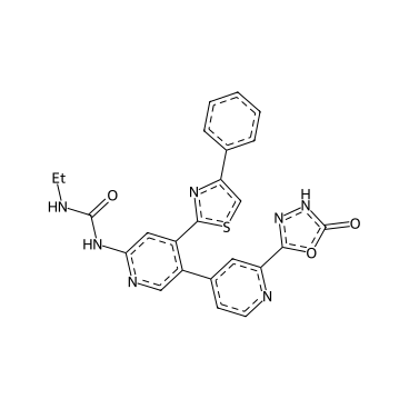 CCNC(=O)Nc1cc(-c2nc(-c3ccccc3)cs2)c(-c2ccnc(-c3n[nH]c(=O)o3)c2)cn1